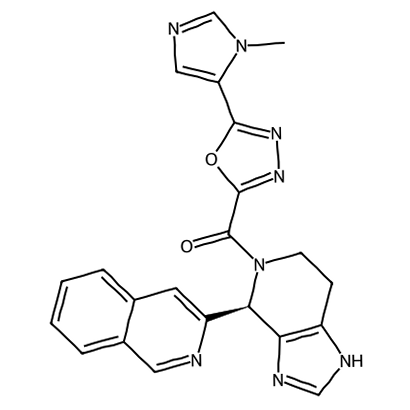 Cn1cncc1-c1nnc(C(=O)N2CCc3[nH]cnc3[C@H]2c2cc3ccccc3cn2)o1